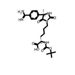 CC(C)(C)OC(=O)N[C@@H](CCCCN1C(=O)N[C@](C)(c2ccc(C(=N)N)cc2)C1=O)C(=O)O